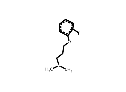 CN(C)CCCOc1ccccc1F